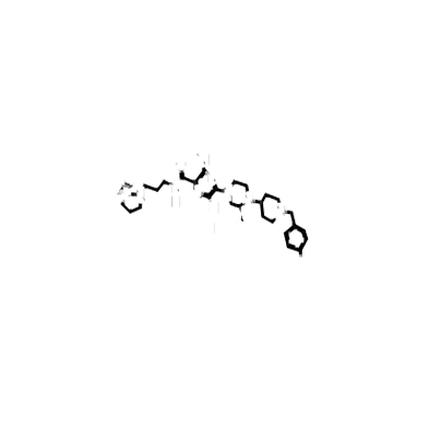 CC[C@H]1CN(c2nc(N)c(C(=O)NCCCN3CCCS3(=O)=O)nc2Cl)CCN1C1CCN(Cc2ccc(C)cc2)CC1